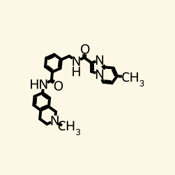 Cc1ccn2cc(C(=O)NCc3cccc(C(=O)Nc4ccc5c(c4)CN(C)CC5)c3)nc2c1